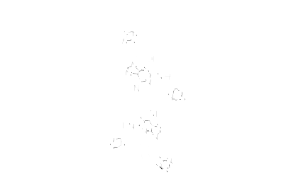 CCc1nnn([C@H]2C[C@@H](n3cnc4c(N[C@H]5CC[C@H](Nc6nc(NCCc7cn(C)cn7)nc7c6ncn7[C@@H]6C[C@H](n7nnc(CC)n7)[C@@H](O)[C@H]6O)CC5)nc(NCCc5cn(C)cn5)nc43)[C@H](O)[C@@H]2O)n1